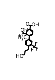 CC1(C(=O)O)CC(C(=O)O)=CC=C1c1ccc(CCCO)c(C(F)(F)F)c1